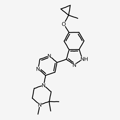 CN1CCN(c2cc(-c3n[nH]c4ccc(OC5(C)CC5)cc34)ncn2)CC1(C)C